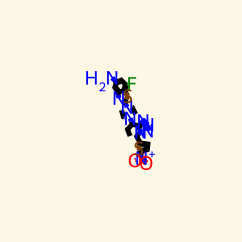 CCC(c1nnnn1Cc1ccc([N+](=O)[O-])s1)N1CCN(c2nc3cc(N)cc(F)c3s2)CC1